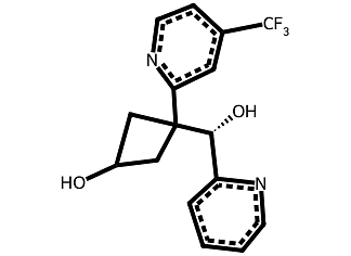 OC1CC(c2cc(C(F)(F)F)ccn2)([C@H](O)c2ccccn2)C1